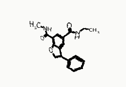 CCNC(=O)c1cc(C(=O)NC)c2c(c1)C(c1ccccc1)CO2